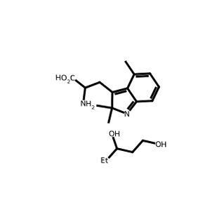 CCC(O)CCO.Cc1cccc2c1=C(CC(N)C(=O)O)C(C)(C)N=2